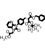 COC(=O)Cn1c(=O)n(-c2ccc(C[C@H](C(=O)OCc3ccccc3)C(=O)OC(C)(C)C)cc2)c2ncccc21